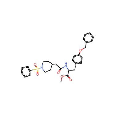 COC(=O)[C@H](Cc1ccc(OCc2ccccc2)cc1)NC(=O)CC1CCN(S(=O)(=O)c2ccccc2)CC1